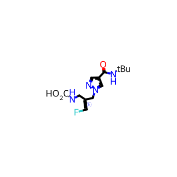 CC(C)(C)NC(=O)c1cnn(C/C(=C/F)CNC(=O)O)c1